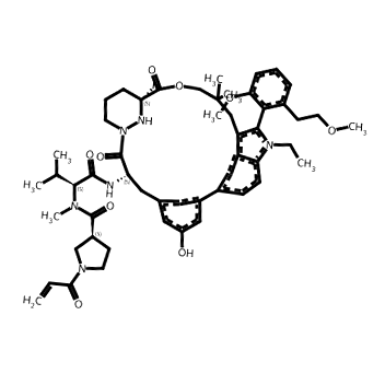 C=CC(=O)N1CC[C@H](C(=O)N(C)[C@H](C(=O)N[C@H]2Cc3cc(O)cc(c3)-c3ccc4c(c3)c(c(-c3c(CCOC)cccc3OC)n4CC)CC(C)(C)COC(=O)[C@@H]3CCCN(N3)C2=O)C(C)C)C1